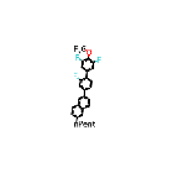 CCCCCc1ccc2cc(-c3ccc(-c4cc(F)c(OC(F)(F)F)c(F)c4)c(F)c3)ccc2c1